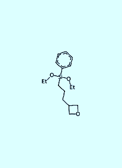 CCO[Si](CCCC1COC1)(OCC)c1ccccc1